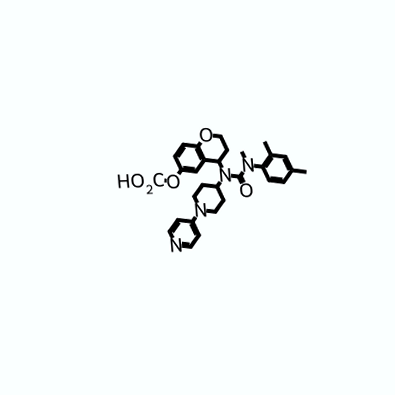 Cc1ccc(N(C)C(=O)N(C2CCN(c3ccncc3)CC2)C2CCOc3ccc(OC(=O)O)cc32)c(C)c1